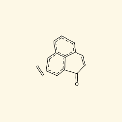 C=C.O=C1C=Cc2cccc3cccc1c23